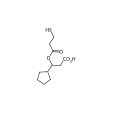 O=C(O)CC(OC(=O)CCS)C1CCCC1